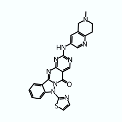 CN1CCc2ncc(Nc3ncc4c(=O)n5c(nc4n3)c3ccccc3n5-c3nccs3)cc2C1